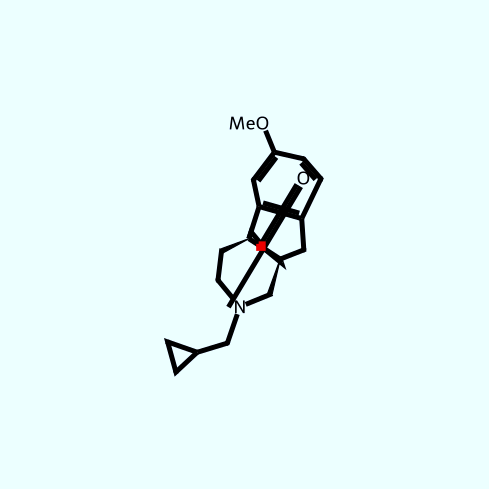 COc1ccc2c(c1)[C@]13CCN(CC4CC4)C[C@]1(CCC(=O)C3)C2